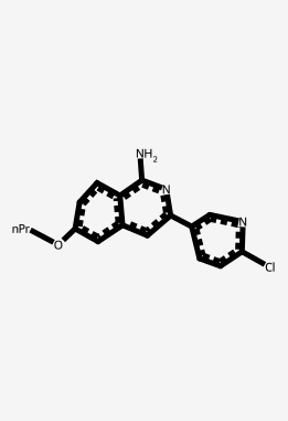 CCCOc1ccc2c(N)nc(-c3ccc(Cl)nc3)cc2c1